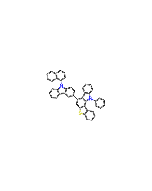 c1ccc(-n2c3ccccc3c3c(-c4ccc5c(c4)c4ccccc4n5-c4cccc5ccccc45)cc4sc5ccccc5c4c32)cc1